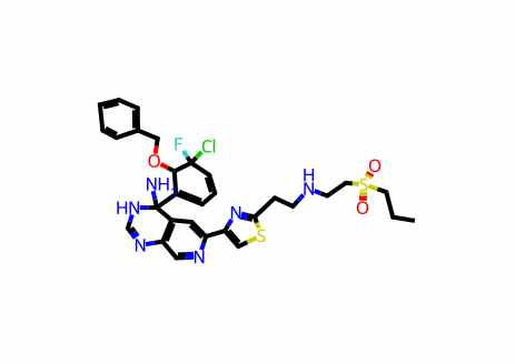 CCCS(=O)(=O)CCNCCc1nc(-c2cc3c(cn2)N=CNC3(N)C2=CC=CC(F)(Cl)C2OCc2ccccc2)cs1